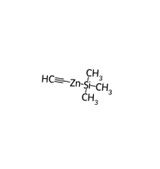 C#[C][Zn][Si](C)(C)C